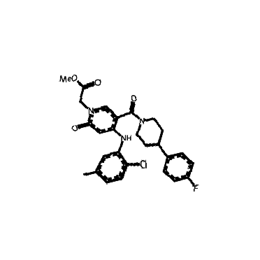 COC(=O)Cn1cc(C(=O)N2CCC(c3ccc(F)cc3)CC2)c(Nc2cc(C)ccc2Cl)cc1=O